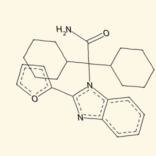 NC(=O)C(C1CCCCC1)(C1CCCCC1)n1c(-c2ccco2)nc2ccccc21